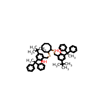 CC(C)(C)c1cc(CSC2CCCCCCC2SCc2cc(C(C)(C)C)cc(C(C)(c3ccccc3)c3ccccc3)c2O)c(O)c(C(C)(c2ccccc2)c2ccccc2)c1